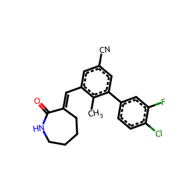 Cc1c(/C=C2\CCCCNC2=O)cc(C#N)cc1-c1ccc(Cl)c(F)c1